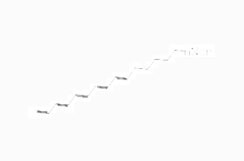 [CH]=C/C=C/C=C/C=C/C=C/CCCCCCCCCCCCCC